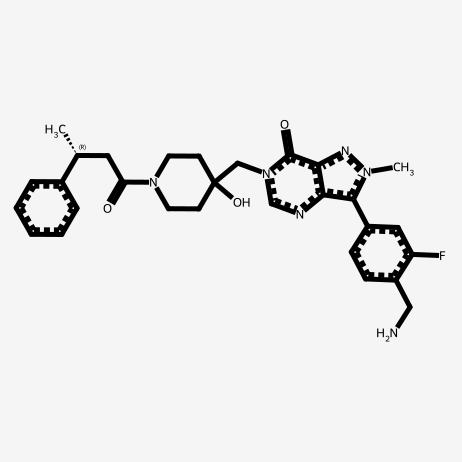 C[C@H](CC(=O)N1CCC(O)(Cn2cnc3c(-c4ccc(CN)c(F)c4)n(C)nc3c2=O)CC1)c1ccccc1